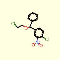 O=[N+]([O-])c1cc(C(OCCCl)c2ccccc2)ccc1Cl